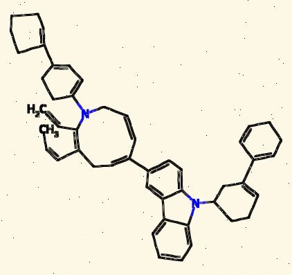 C=C/C1=C(\C=C/C)C/C=C(c2ccc3c(c2)c2ccccc2n3C2CCC=C(C3=CCCC=C3)C2)\C=C/CN1C1=CC=C(C2=CCCCC2)CC1